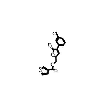 O=C1OC(COC(=O)c2ccsc2)C=C1c1cccc(Cl)c1